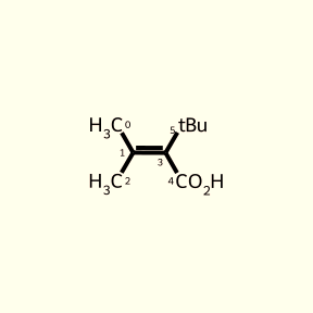 CC(C)=C(C(=O)O)C(C)(C)C